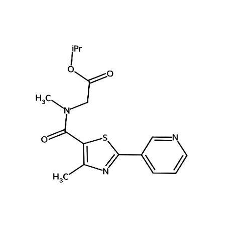 Cc1nc(-c2cccnc2)sc1C(=O)N(C)CC(=O)OC(C)C